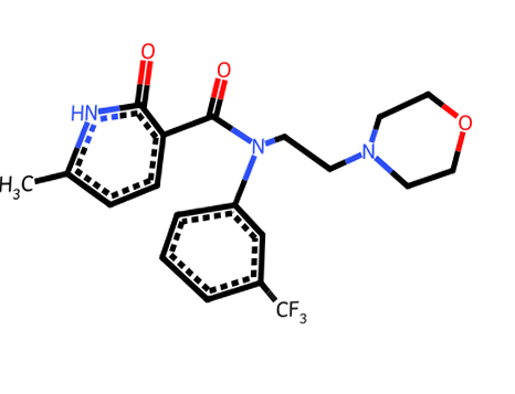 Cc1ccc(C(=O)N(CCN2CCOCC2)c2cccc(C(F)(F)F)c2)c(=O)[nH]1